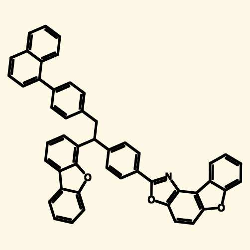 c1ccc2c(-c3ccc(CC(c4ccc(-c5nc6c(ccc7oc8ccccc8c76)o5)cc4)c4cccc5c4oc4ccccc45)cc3)cccc2c1